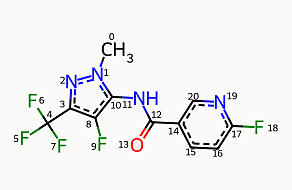 Cn1nc(C(F)(F)F)c(F)c1NC(=O)c1ccc(F)nc1